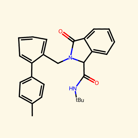 Cc1ccc(-c2ccccc2CN2C(=O)c3ccccc3C2C(=O)NC(C)(C)C)cc1